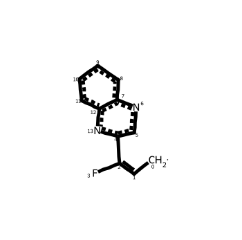 [CH2]/C=C(/F)c1cnc2ccccc2n1